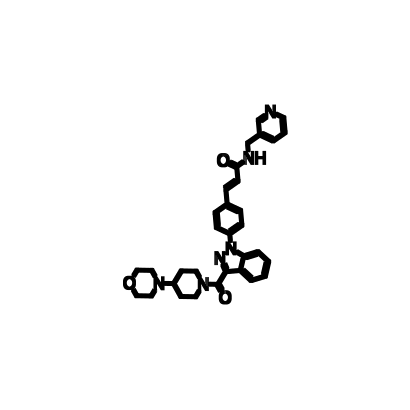 O=C(/C=C/c1ccc(-n2nc(C(=O)N3CCC(N4CCOCC4)CC3)c3ccccc32)cc1)NCc1cccnc1